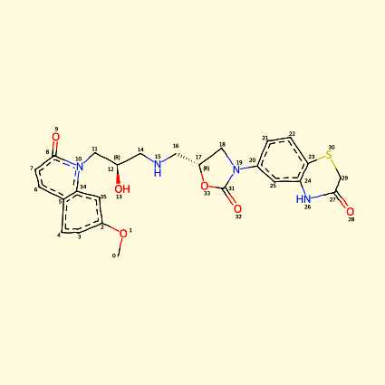 COc1ccc2ccc(=O)n(C[C@H](O)CNC[C@@H]3CN(c4ccc5c(c4)NC(=O)CS5)C(=O)O3)c2c1